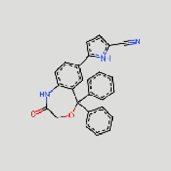 N#Cc1ccc(-c2ccc3c(c2)C(c2ccccc2)(c2ccccc2)OCC(=O)N3)[nH]1